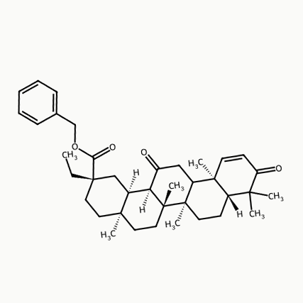 CC[C@]1(C(=O)OCc2ccccc2)CC[C@]2(C)CC[C@]3(C)[C@H](C(=O)CC4[C@@]5(C)C=CC(=O)C(C)(C)[C@@H]5CC[C@]43C)[C@@H]2C1